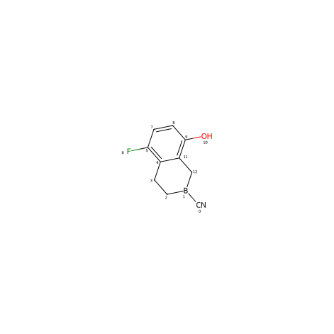 N#CB1CCc2c(F)ccc(O)c2C1